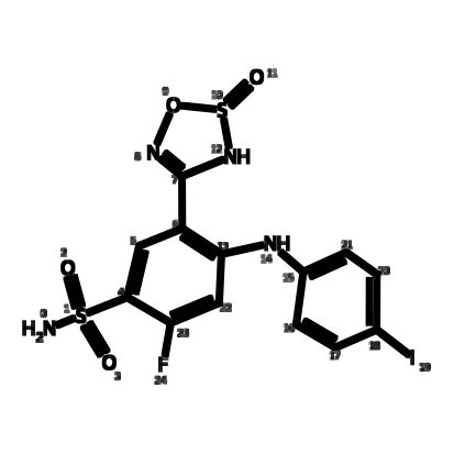 NS(=O)(=O)c1cc(C2=NOS(=O)N2)c(Nc2ccc(I)cc2)cc1F